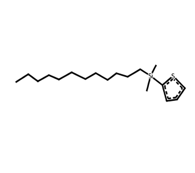 CCCCCCCCCCCC[Si](C)(C)c1cccs1